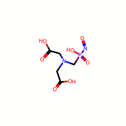 O=NP(=O)(O)CN(CC(=O)O)CC(=O)O